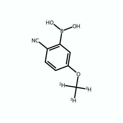 [2H]C([2H])([2H])Oc1ccc(C#N)c(B(O)O)c1